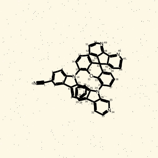 N#Cc1ccc2c(c1)c1ccccc1n2-c1cccc2c1Oc1c(-n3c4ccccc4c4ccncc43)cccc1C21c2cccnc2-c2ncccc21